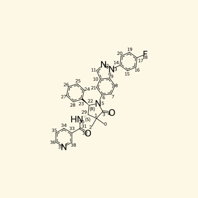 CC1(C)C(=O)N(c2ccc3c(cnn3-c3ccc(F)cc3)c2)[C@H](c2ccccc2)[C@H]1NC(=O)c1cccnc1